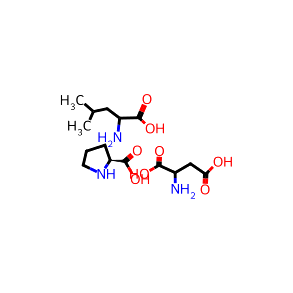 CC(C)CC(N)C(=O)O.NC(CC(=O)O)C(=O)O.O=C(O)[C@@H]1CCCN1